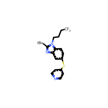 CC(C)(C)c1nc2cc(Sc3ccncc3)ccc2n1CCCC(F)(F)F